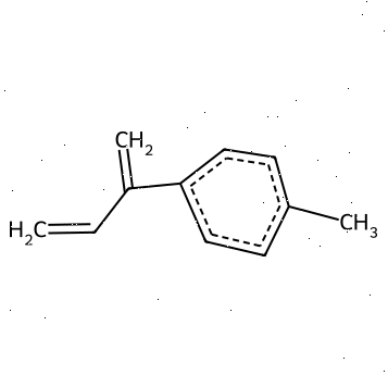 C=CC(=C)c1ccc(C)cc1